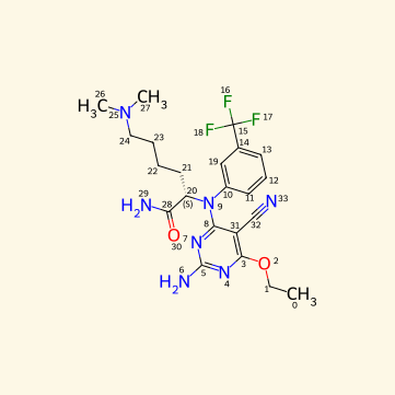 CCOc1nc(N)nc(N(c2cccc(C(F)(F)F)c2)[C@@H](CCCCN(C)C)C(N)=O)c1C#N